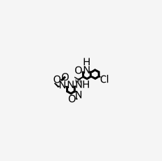 C[C@H](Nc1nc(N2CCOC2=O)cc2ocnc12)c1cc2cc(Cl)ccc2[nH]c1=O